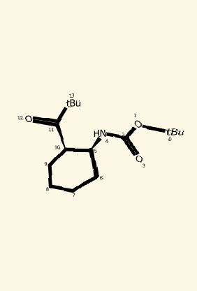 CC(C)(C)OC(=O)N[C@H]1CCCC[C@H]1C(=O)C(C)(C)C